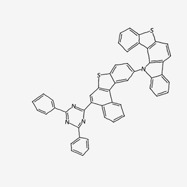 c1ccc(-c2nc(-c3ccccc3)nc(-c3cc4sc5ccc(-n6c7ccccc7c7ccc8sc9ccccc9c8c76)cc5c4c4ccccc34)n2)cc1